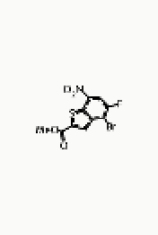 COC(=O)c1cc2c(Br)c(F)cc([N+](=O)[O-])c2s1